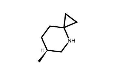 C[C@H]1CCC2(CC2)NC1